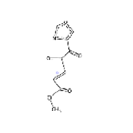 COC(=O)/C=C/C(=O)C(=O)c1cocn1